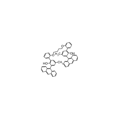 Cc1cc(-c2ccccc2OCCCCOc2ccccc2-c2cc(C)cc(-c3c4ccccc4cc4ccccc34)c2O)c(O)c(-c2c3ccccc3cc3ccccc23)c1